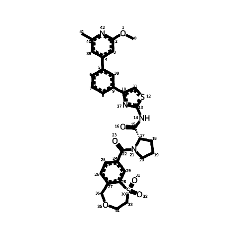 COc1cc(-c2cccc(-c3csc(NC(=O)[C@@H]4CCCN4C(=O)c4ccc5c(c4)S(=O)(=O)CCOC5)n3)c2)cc(C)n1